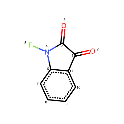 O=C1C(=O)N(F)c2ccccc21